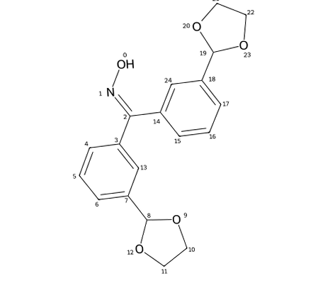 ON=C(c1cccc(C2OCCO2)c1)c1cccc(C2OCCO2)c1